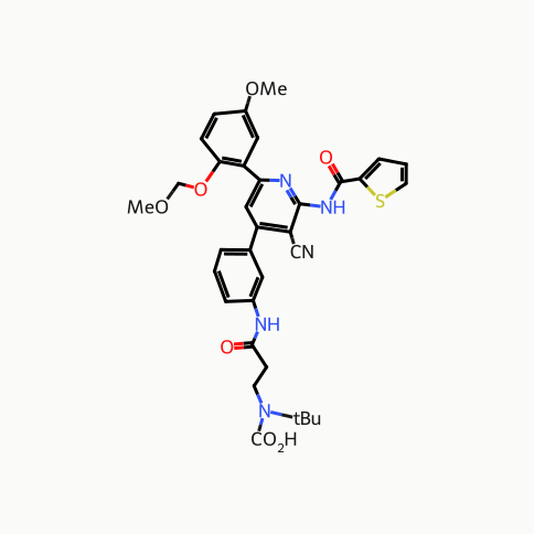 COCOc1ccc(OC)cc1-c1cc(-c2cccc(NC(=O)CCN(C(=O)O)C(C)(C)C)c2)c(C#N)c(NC(=O)c2cccs2)n1